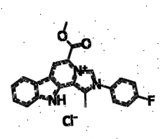 COC(=O)c1cc2c3ccccc3[nH]c2c2c(C)n(-c3ccc(F)cc3)c[n+]12.[Cl-]